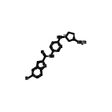 CCOC(=O)N1CC[C@H](Nc2ccc(NC(=O)c3cc4cc(Br)ccc4s3)cn2)C1